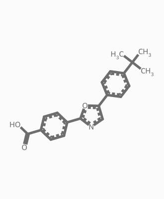 CC(C)(C)c1ccc(-c2cnc(-c3ccc(C(=O)O)cc3)o2)cc1